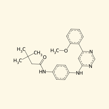 COc1ccccc1-c1cc(Nc2ccc(NC(=O)CC(C)(C)C)cc2)ncn1